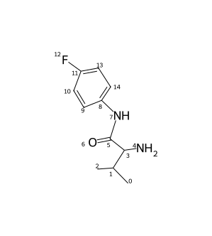 CC(C)C(N)C(=O)Nc1ccc(F)cc1